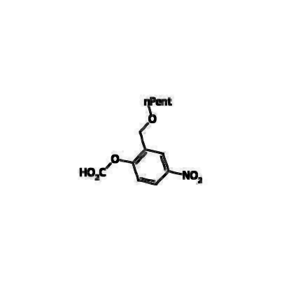 CCCCCOCc1cc([N+](=O)[O-])ccc1OC(=O)O